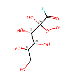 O=C(F)[C@@](O)(OO)[C@@H](O)[C@H](O)[C@H](O)CO